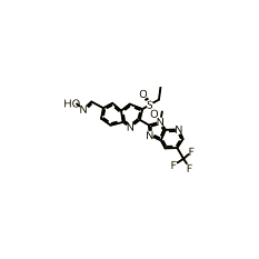 CCS(=O)(=O)c1cc2cc(/C=N/O)ccc2nc1-c1nc2cc(C(F)(F)F)cnc2n1C